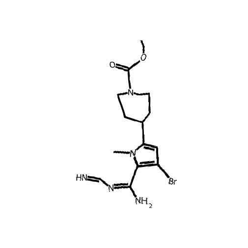 COC(=O)N1CCC(c2cc(Br)c(/C(N)=N\C=N)n2C)CC1